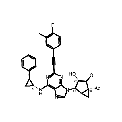 CC(=O)[C@]12CC1[C@@H](n1cnc3c(N[C@@H]4CC4c4ccccc4)nc(C#Cc4ccc(F)c(C)c4)nc31)[C@H](O)C2O